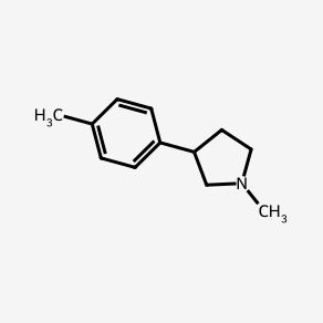 Cc1ccc(C2CCN(C)C2)cc1